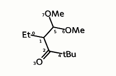 CCC(C(=O)C(C)(C)C)C(OC)OC